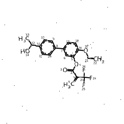 C=C(C(=O)Oc1cc(-c2ccc(C(C)O)cc2)ccc1OCC)C(F)(F)F